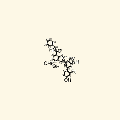 CCc1cc(O)ccc1-c1cc2[nH]ncc2c(N2CCc3c(cccc3C(=O)NCc3ccccc3)C2)n1.O=CO